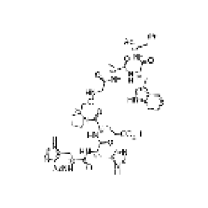 CC(=O)N[C@@H](Cc1cnc[nH]1)C(=O)N[C@@H](Cc1cnc[nH]1)C(=O)N[C@@H](CCC(=O)O)C(=O)N1CCC[C@H]1CONCC(=O)N[C@@H](C)C(=O)N[C@@H](Cc1c[nH]c2ccccc12)C(=O)N[C@@H](CC(C)C)C(C)=O